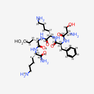 NCCCC[C@H](NC(=O)[C@H](CCC(=O)O)NC(=O)[C@H](CCCCN)NC(=O)[C@H](Cc1ccccc1)NC(=O)[C@@H](N)CO)C(N)=O